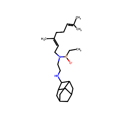 CC[S+]([O-])N(C/C=C(\C)CCC=C(C)C)CCNC1C2CC3CC(C2)CC1C3